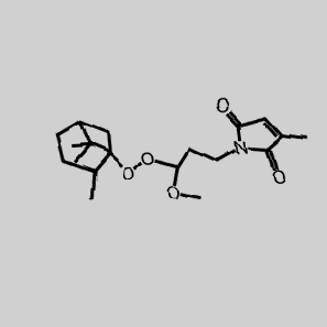 COC(CCN1C(=O)C=C(C)C1=O)OOC12CC(CCC1C)C2(C)C